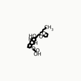 CCCCC[C@H](CC[C@]1(O)C[C@H]2Cc3cccc(OCC(=O)O)c3C[C@H]2C1)OC1CCCCO1